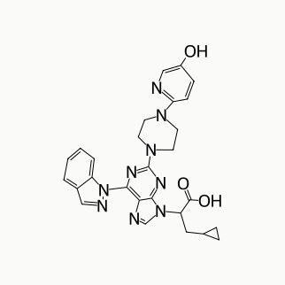 O=C(O)C(CC1CC1)n1cnc2c(-n3ncc4ccccc43)nc(N3CCN(c4ccc(O)cn4)CC3)nc21